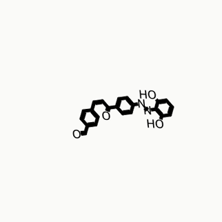 O=Cc1ccc(/C=C\C(=O)c2ccc(N=Nc3c(O)cccc3O)cc2)cc1